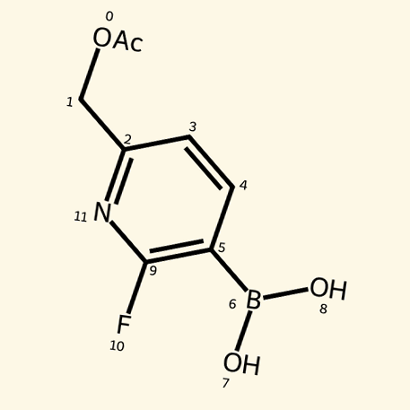 CC(=O)OCc1ccc(B(O)O)c(F)n1